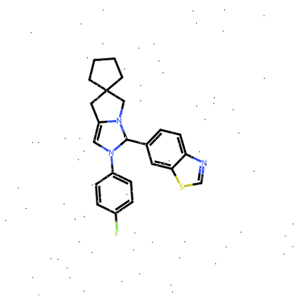 Fc1ccc(N2C=C3CC4(CCCC4)CN3C2c2ccc3ncsc3c2)cc1